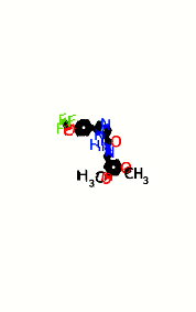 COc1cc(/C=N/NC(=O)c2cncc(-c3ccc(OC(F)(F)F)cc3)n2)cc(OC)c1